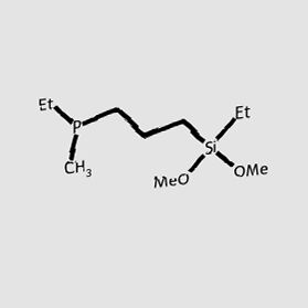 CCP(C)CCC[Si](CC)(OC)OC